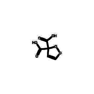 O=C(O)C1(C(=O)O)C=COO1